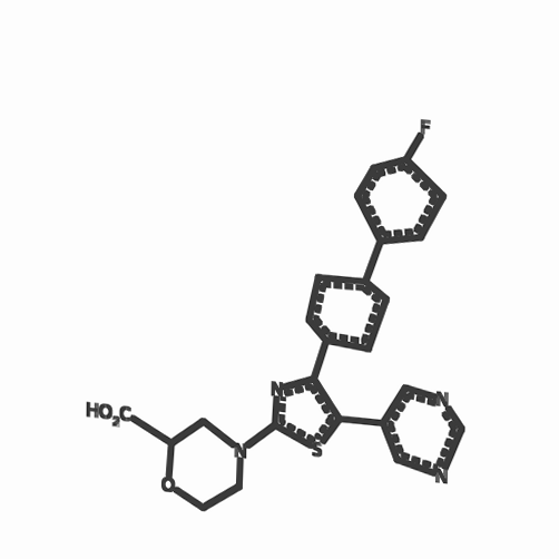 O=C(O)C1CN(c2nc(-c3ccc(-c4ccc(F)cc4)cc3)c(-c3cncnc3)s2)CCO1